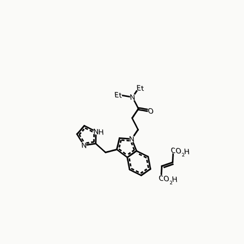 CCN(CC)C(=O)CCn1cc(Cc2ncc[nH]2)c2ccccc21.O=C(O)C=CC(=O)O